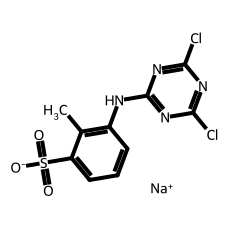 Cc1c(Nc2nc(Cl)nc(Cl)n2)cccc1S(=O)(=O)[O-].[Na+]